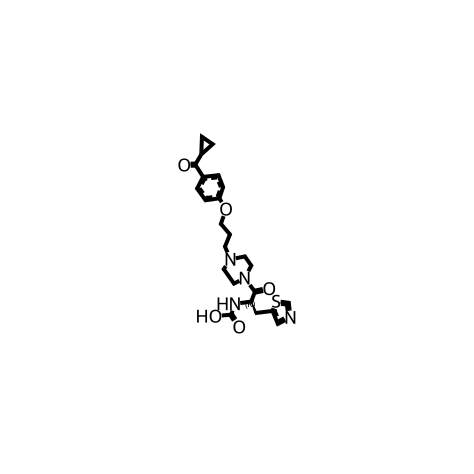 O=C(O)N[C@H](Cc1cncs1)C(=O)N1CCN(CCCOc2ccc(C(=O)C3CC3)cc2)CC1